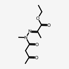 CCOC(=O)C(C)=NN(C)C(=O)CC(C)=O